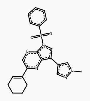 Cn1cc(-c2cn(S(=O)(=O)c3ccccc3)c3ncc(C4=CCCCC4)nc23)cn1